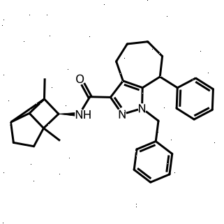 CC12CCC3C1C3(C)[C@H]2NC(=O)c1nn(Cc2ccccc2)c2c1CCCCC2c1ccccc1